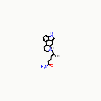 N#CC(=CCCC(N)=O)CN1CCCC2c3cccc4[nH]cc(c34)C[C@H]21